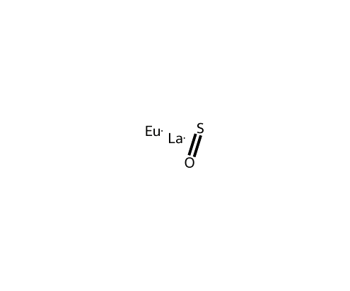 O=S.[Eu].[La]